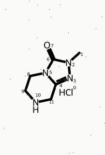 Cl.Cn1nc2n(c1=O)CCNC2